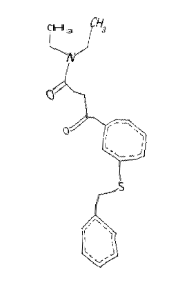 CCN(CC)C(=O)CC(=O)c1cccc(SCc2ccccc2)c1